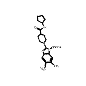 CCCCCn1c(N2CCC(C(=O)NC3CCCC3)CC2)nc2cc(C)c(C)cc21